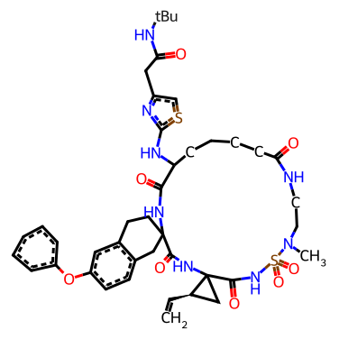 C=C[C@@H]1CC12NC(=O)C1(CCc3cc(Oc4ccccc4)ccc3C1)NC(=O)C(Nc1nc(CC(=O)NC(C)(C)C)cs1)CCCCC(=O)NCCN(C)S(=O)(=O)NC2=O